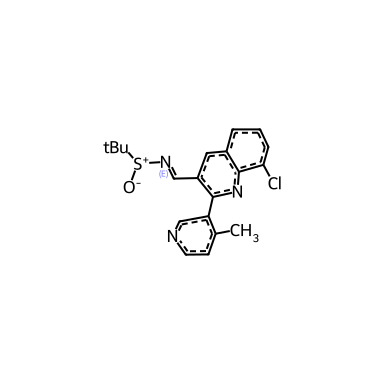 Cc1ccncc1-c1nc2c(Cl)cccc2cc1/C=N/[S+]([O-])C(C)(C)C